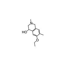 CCOc1cc2c(cc1C)CN(C)CC2O